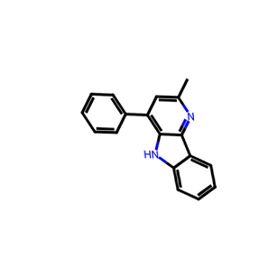 Cc1cc(-c2ccccc2)c2[nH]c3ccccc3c2n1